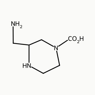 NCC1CN(C(=O)O)CCN1